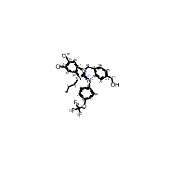 CCCn1/c(=N\c2ccc(OC(F)(F)F)cc2)n(Cc2ccc(CO)cc2)c2cc(Cl)c(Cl)cc21